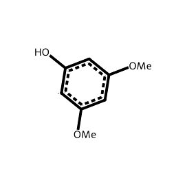 COc1[c]c(O)cc(OC)c1